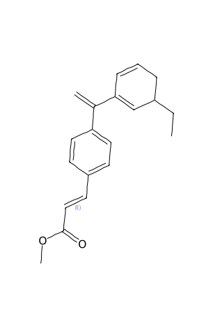 C=C(C1=CC(CC)CC=C1)c1ccc(/C=C/C(=O)OC)cc1